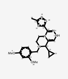 COc1ccc(CN2CCN3C(=CNN=C3c3nc(C)ns3)C2C2CC2)c(OC)c1